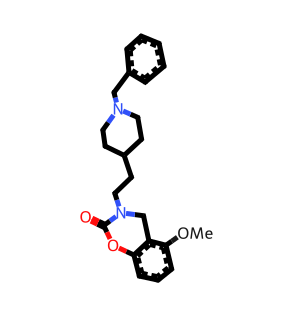 COc1cccc2c1CN(CCC1CCN(Cc3ccccc3)CC1)C(=O)O2